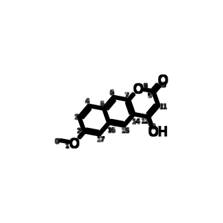 COc1ccc2cc3oc(=O)cc(O)c3cc2c1